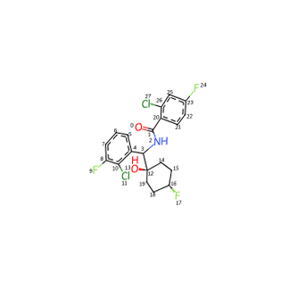 O=C(NC(c1cccc(F)c1Cl)[C@]1(O)CC[C@@H](F)CC1)c1ccc(F)cc1Cl